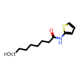 CCCCCCCCCCCCCCC(=O)Nc1cccs1